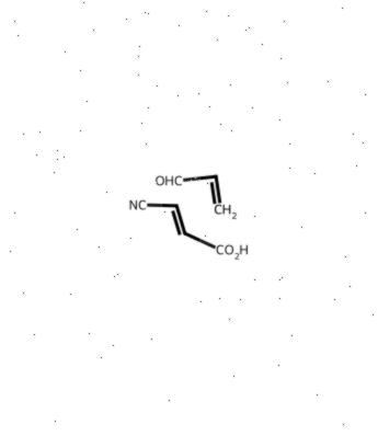 C=CC=O.N#CC=CC(=O)O